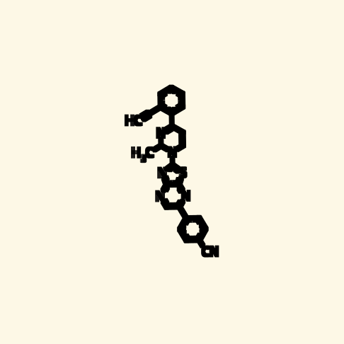 C#Cc1ccccc1C1=NC(C)N(c2nc3ncc(-c4ccc(C#N)cc4)nc3s2)C=C1